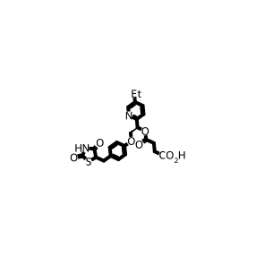 CCc1ccc([C@H](COc2ccc(CC3SC(=O)NC3=O)cc2)OC(=O)CCC(=O)O)nc1